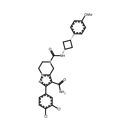 COc1ccc([C@H]2C[C@@H](NC(=O)N3CCn4nc(-c5ccc(Cl)c(Cl)c5)c(C(N)=O)c4C3)C2)cc1